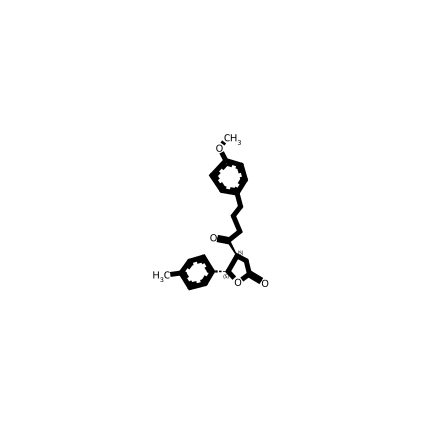 COc1ccc(CCCC(=O)[C@H]2CC(=O)O[C@@H]2c2ccc(C)cc2)cc1